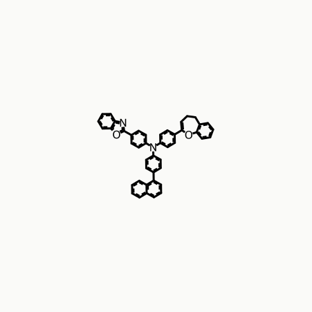 C1=C(c2ccc(N(c3ccc(-c4nc5ccccc5o4)cc3)c3ccc(-c4cccc5ccccc45)cc3)cc2)Oc2ccccc2CC1